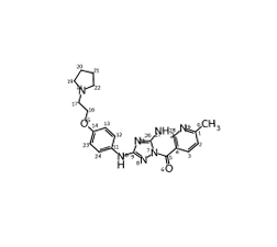 Cc1ccc(C(=O)n2nc(Nc3ccc(OCCN4CCCC4)cc3)nc2N)cn1